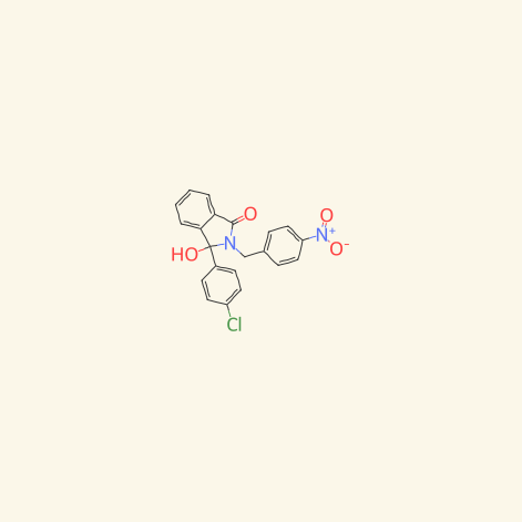 O=C1c2ccccc2C(O)(c2ccc(Cl)cc2)N1Cc1ccc([N+](=O)[O-])cc1